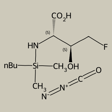 CCCC[Si](C)(C)N[C@H](C(=O)O)[C@H](O)CF.[N-]=[N+]=C=O